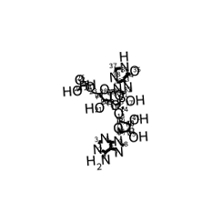 Nc1ncnc2c1ncn2[C@@H]1O[C@H](OCP(=O)(O)O[C@H]2[C@@H](O)[C@@H](CO[PH](=O)O)O[C@H]2n2cnc3c(=O)[nH]cnc32)[C@H](O)[C@@H]1O